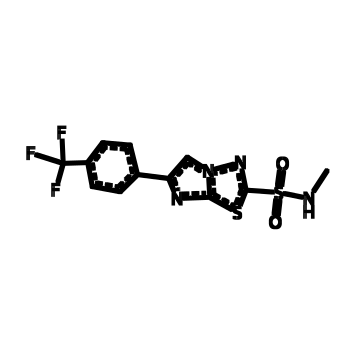 CNS(=O)(=O)c1nn2cc(-c3ccc(C(F)(F)F)cc3)nc2s1